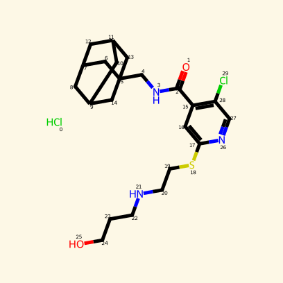 Cl.O=C(NCC12CC3CC(CC(C3)C1)C2)c1cc(SCCNCCCO)ncc1Cl